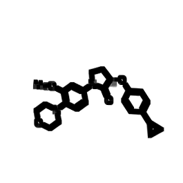 COc1cc(N2CC[C@H](Oc3ccc(C4CC4)cc3)C2=O)ccc1N1CCOCC1